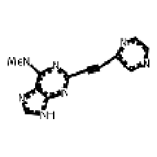 CNc1nc(C#Cc2cnccn2)nc2[nH]cnc12